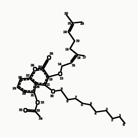 CCCCCCCCCCOc1c(OCC=C(C)CCC=C(C)C)c(=O)oc2cccc(OC(C)=O)c12